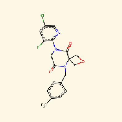 O=C1CN(c2ncc(Cl)cc2F)C(=O)C2(COC2)N1Cc1ccc(C(F)(F)F)cc1